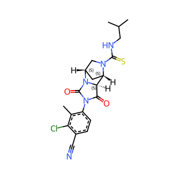 Cc1c(N2C(=O)[C@@H]3[C@@H]4C[C@@H](CN4C(=S)NCC(C)C)N3C2=O)ccc(C#N)c1Cl